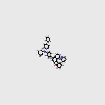 C1=C(c2ccccc2)CCC(N(c2ccccc2)c2ccc(-c3cc4oc5cccc(-c6cccnc6)c5c4c4ccccc34)cc2)=C1